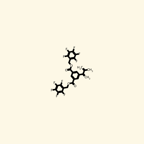 C=C(C)C(=C)c1cc(C(=O)OCc2c(F)c(F)c(F)c(F)c2F)cc(C(=O)OCc2c(F)c(F)c(F)c(F)c2F)c1